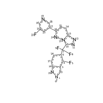 Cn1cc2c(F)c(C(F)(F)c3nnc4ccc(-c5cncc(F)c5)nn34)ccc2n1